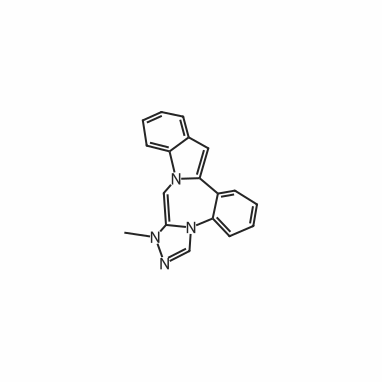 CN1N=CN2C1=Cn1c(cc3ccccc31)-c1ccccc12